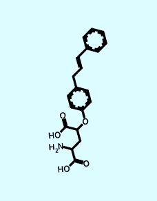 NC(CC(Oc1ccc(CC=Cc2ccccc2)cc1)C(=O)O)C(=O)O